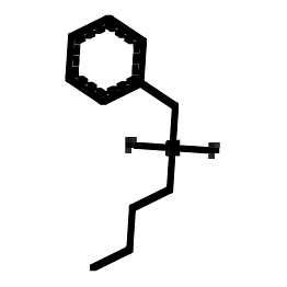 CCCC[Si](F)(F)Cc1ccccc1